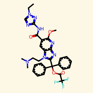 CCn1cnc(NC(=O)c2cc3c(nc2OC)nc(C(OC(=O)C(F)(F)F)(c2ccccc2)c2ccccc2)n3CCN(C)C)n1